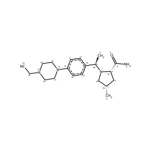 C[C@H]1C[C@@H](C(N)=O)N([C@H](C)c2ccc(N3CCN(CC#N)CC3)cc2)C1